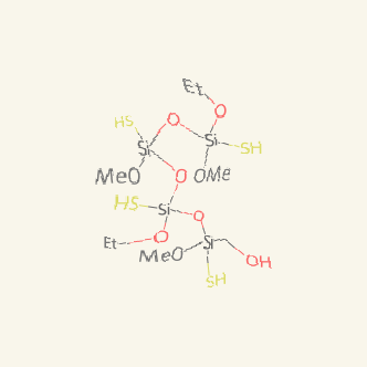 CCO[Si](S)(OC)O[Si](S)(OC)O[Si](S)(OCC)O[Si](S)(CO)OC